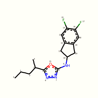 CCCC(C)c1nnc(NC2Cc3cc(F)c(F)cc3C2)o1